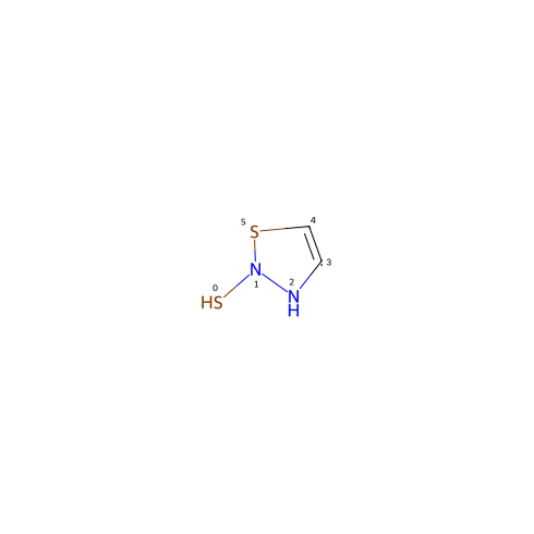 SN1N[C]=CS1